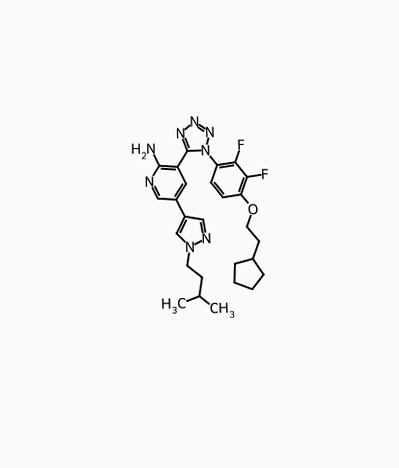 CC(C)CCn1cc(-c2cnc(N)c(-c3nnnn3-c3ccc(OCCC4CCCC4)c(F)c3F)c2)cn1